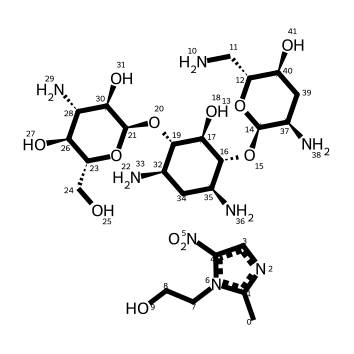 Cc1ncc([N+](=O)[O-])n1CCO.NC[C@H]1O[C@H](O[C@H]2[C@H](O)[C@@H](O[C@H]3O[C@H](CO)[C@@H](O)[C@H](N)[C@H]3O)[C@H](N)C[C@@H]2N)[C@H](N)C[C@@H]1O